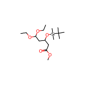 CCOC(CC(CC(=O)OC)O[Si](C)(C)C(C)(C)C)OCC